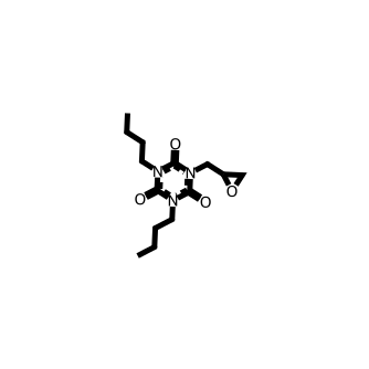 CCCCn1c(=O)n(CCCC)c(=O)n(CC2CO2)c1=O